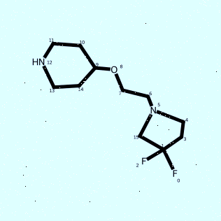 FC1(F)CCN(CCOC2CCNCC2)C1